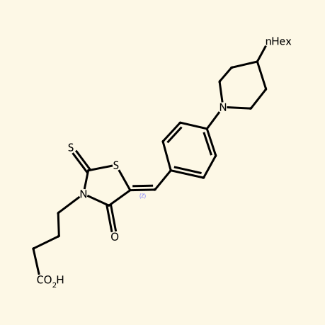 CCCCCCC1CCN(c2ccc(/C=C3\SC(=S)N(CCCC(=O)O)C3=O)cc2)CC1